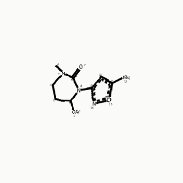 CC(=O)OC1CCN(C)C(=O)N1c1cc(C(C)(C)C)on1